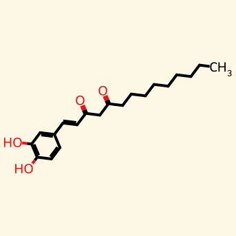 CCCCCCCCCC(=O)CC(=O)/C=C/c1ccc(O)c(O)c1